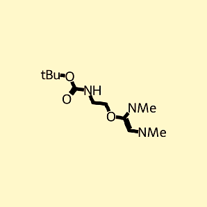 CN/C=C(\NC)OCCNC(=O)OC(C)(C)C